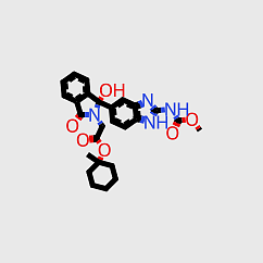 COC(=O)Nc1nc2cc(C3(O)c4ccccc4C(=O)N3CC(=O)OC3(C)CCCCC3)ccc2[nH]1